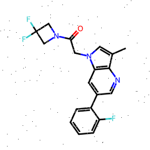 Cc1cn(CC(=O)N2CC(F)(F)C2)c2cc(-c3ccccc3F)cnc12